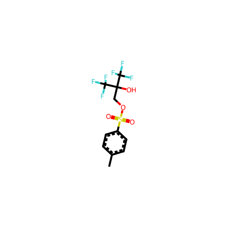 Cc1ccc(S(=O)(=O)OCC(O)(C(F)(F)F)C(F)(F)F)cc1